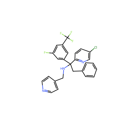 Fc1cc(C(F)(F)F)cc(C(Cc2ccccc2)(NCc2ccncc2)c2ccc(Cl)cn2)c1